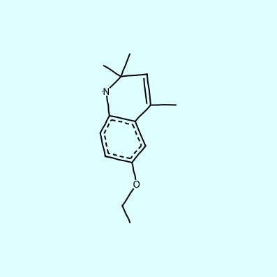 CCOc1ccc2c(c1)C(C)=CC(C)(C)[N]2